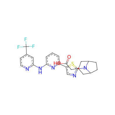 O=C(O)CC1CC2CCC(C1)N2c1ncc(-c2cccc(Nc3cc(C(F)(F)F)ccn3)n2)s1